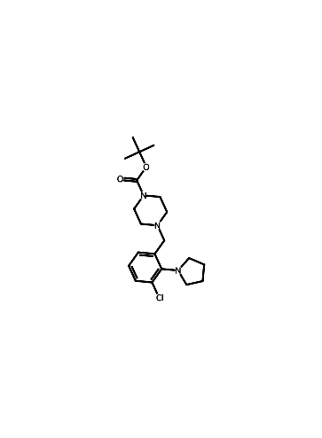 CC(C)(C)OC(=O)N1CCN(Cc2cccc(Cl)c2N2CCCC2)CC1